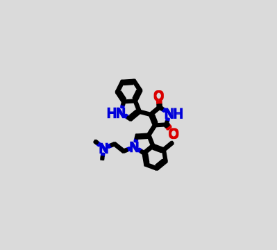 Cc1cccc2c1c(C1=C(c3c[nH]c4ccccc34)C(=O)NC1=O)cn2CCN(C)C